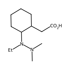 CCN(C1CCCCC1CC(=O)O)N(C)C